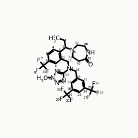 CCC(c1ccc(C(F)(F)F)cc1CN(Cc1cc(C(F)(F)F)cc(C(F)(F)F)c1)c1nnn(C)n1)N1CCNC(=O)CC1